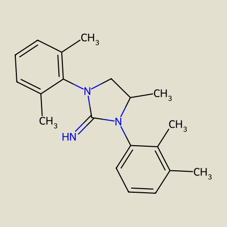 Cc1cccc(N2C(=N)N(c3c(C)cccc3C)CC2C)c1C